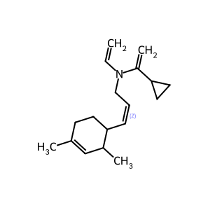 C=CN(C/C=C\C1CCC(C)=CC1C)C(=C)C1CC1